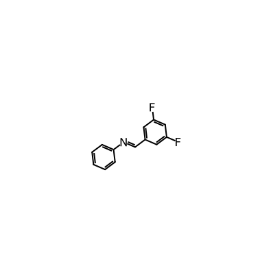 Fc1cc(F)cc(/C=N/c2ccccc2)c1